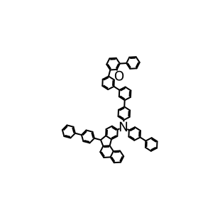 c1ccc(-c2ccc(C3c4ccc(N(c5ccc(-c6ccccc6)cc5)c5ccc(-c6cccc(-c7cccc8c7oc7c(-c9ccccc9)cccc78)c6)cc5)cc4-c4c3ccc3ccccc43)cc2)cc1